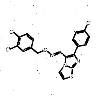 Clc1ccc(-c2nc3sccn3c2C=NOCc2ccc(Cl)c(Cl)c2)cc1